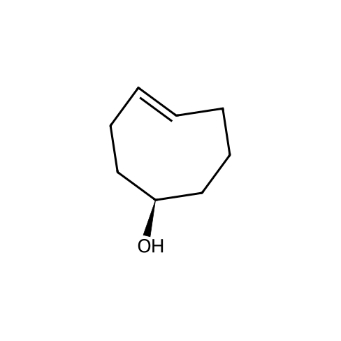 O[C@H]1CC/C=C/CCC1